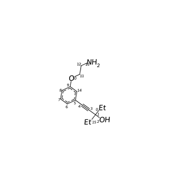 CCC(O)(C#Cc1cccc(OCCN)c1)CC